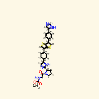 COC(=O)NCC(=O)N1CCC[C@H]1c1ncc(C2C=CC(c3csc4c(-c5ccc(-c6cnc[nH]6)cc5)csc34)=CC2)[nH]1